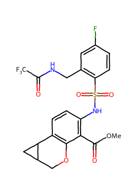 COC(=O)c1c(NS(=O)(=O)c2ccc(F)cc2CNC(=O)C(F)(F)F)ccc2c1OCC1CC21